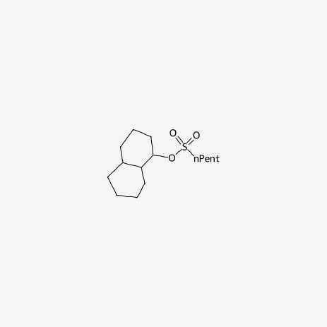 CCCCCS(=O)(=O)OC1CCCC2CCCCC21